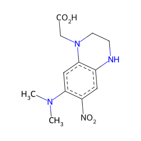 CN(C)c1cc2c(cc1[N+](=O)[O-])NCCN2CC(=O)O